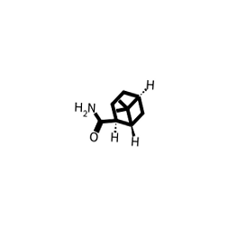 CC1(C)[C@H]2CC[C@H](C(N)=O)[C@H]1C2